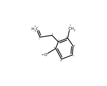 C=CCc1c(C)cccc1[O]